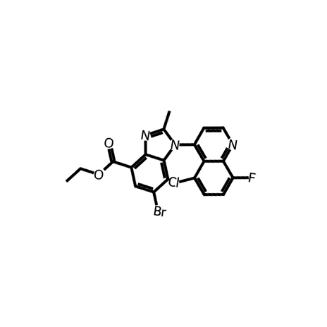 CCOC(=O)c1cc(Br)cc2c1nc(C)n2-c1ccnc2c(F)ccc(Cl)c12